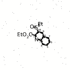 CCOC(=O)c1nc2ccccc2cc1[S+]([O-])CC